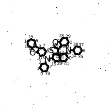 c1ccc(N(c2ccc3c(c2)oc2ccccc23)c2cccc3c2sc2oc4cccc(N(c5ccccc5)c5ccccc5)c4c23)cc1